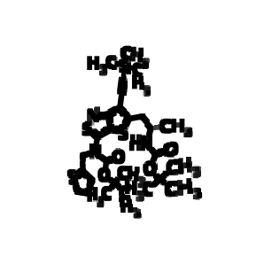 C[C@@H](Cc1sc2c(N(Cc3cccs3)C(=O)OC(C)(C)C)snc2c1C#C[Si](C)(C)C)NC(=O)OC(C)(C)C